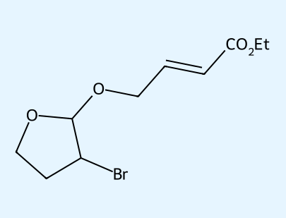 CCOC(=O)C=CCOC1OCCC1Br